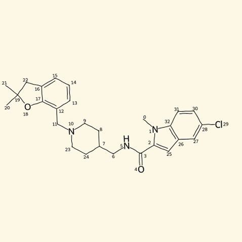 Cn1c(C(=O)NCC2CCN(Cc3cccc4c3OC(C)(C)C4)CC2)cc2cc(Cl)ccc21